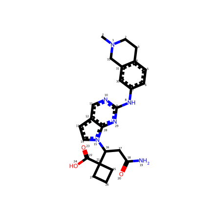 CN1CCc2ccc(Nc3ncc4ccn(C(CC(N)=O)C5(C(=O)O)CCC5)c4n3)cc2C1